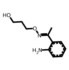 CC(=NOCCCO)c1ccccc1N